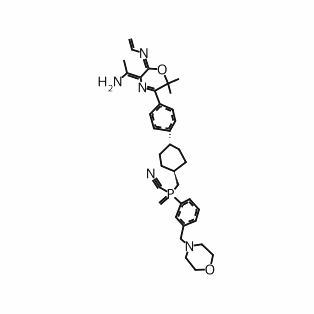 C=C/N=C1/OC(C)(C)C(c2ccc([C@H]3CC[C@H](CP(=C)(C#N)c4cccc(CN5CCOCC5)c4)CC3)cc2)=N/C1=C(/C)N